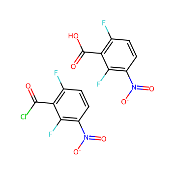 O=C(Cl)c1c(F)ccc([N+](=O)[O-])c1F.O=C(O)c1c(F)ccc([N+](=O)[O-])c1F